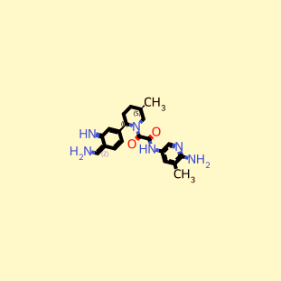 Cc1cc(NC(=O)C(=O)N2C[C@@H](C)CC[C@@H]2C2=CC(=N)/C(=C\N)C=C2)cnc1N